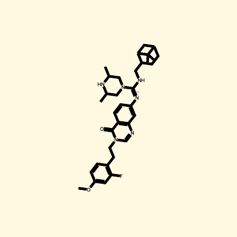 COc1ccc(CCn2cnc3cc(/N=C(/NCC4CCC5CC4C5(C)C)N4CC(C)NC(C)C4)ccc3c2=O)c(F)c1